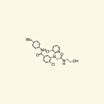 CC(C)(C)c1ccc(NC(=O)c2ccc(Cl)c(N(CC(=O)NCCO)c3ncccc3Cl)c2)cc1